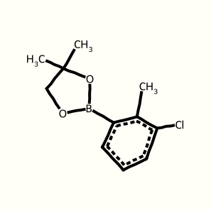 Cc1c(Cl)cccc1B1OCC(C)(C)O1